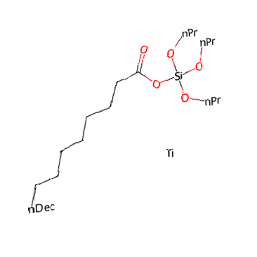 CCCCCCCCCCCCCCCCCC(=O)O[Si](OCCC)(OCCC)OCCC.[Ti]